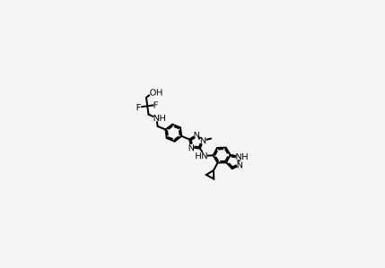 Cn1nc(-c2ccc(CNCC(F)(F)CO)cc2)nc1Nc1ccc2[nH]ncc2c1C1CC1